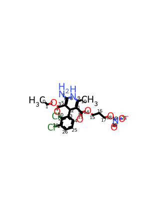 CCOC(=O)C1=C(N)NC(C)=C(C(=O)OCCCO[N+](=O)[O-])C1c1cccc(Cl)c1Cl